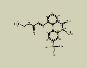 CCOC(=O)/C=C/c1cccc(C(=O)N(C)c2cccc(C(F)(F)F)c2)c1